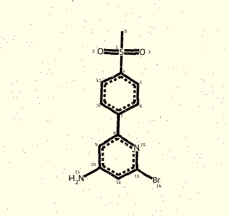 CS(=O)(=O)c1ccc(-c2cc(N)cc(Br)n2)cc1